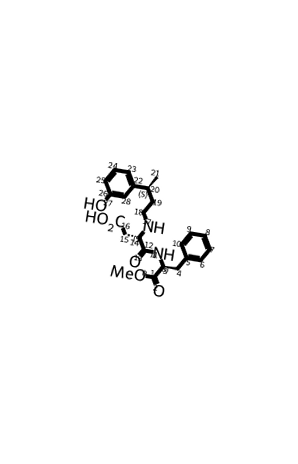 COC(=O)[C@H](Cc1ccccc1)NC(=O)[C@H](CC(=O)O)NCC[C@H](C)c1cccc(O)c1